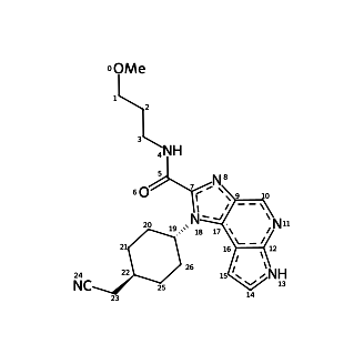 COCCCNC(=O)c1nc2cnc3[nH]ccc3c2n1[C@H]1CC[C@H](CC#N)CC1